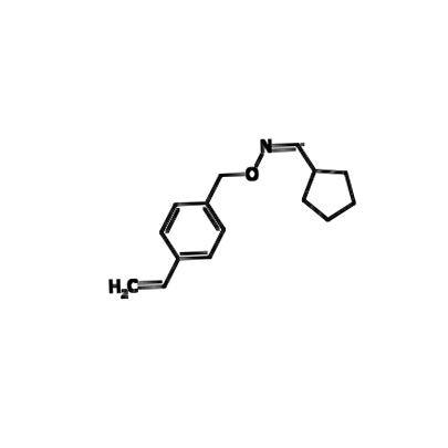 C=Cc1ccc(CO/N=[C]\C2CCCC2)cc1